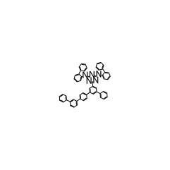 c1ccc(-c2cccc(-c3ccc(-c4cc(-c5ccccc5)cc(-c5nc(-n6c7ccccc7c7ccccc76)nc(-n6c7ccccc7c7ccccc76)n5)c4)cc3)c2)cc1